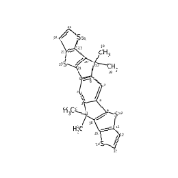 CC1(C)c2cc3c(cc2-c2sc4ccsc4c21)C(C)(C)c1c-3sc2ccsc12